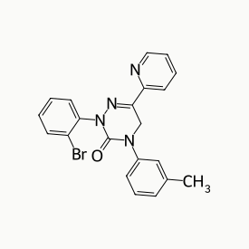 Cc1cccc(N2CC(c3ccccn3)=NN(c3ccccc3Br)C2=O)c1